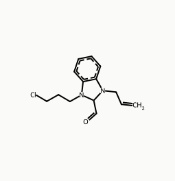 C=CCN1c2ccccc2N(CCCCl)C1C=O